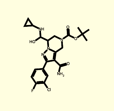 CC(C)(C)OC(=O)N1Cc2c(C(N)=O)c(-c3ccc(F)c(Cl)c3)nn2C(C(O)NC2CC2)C1